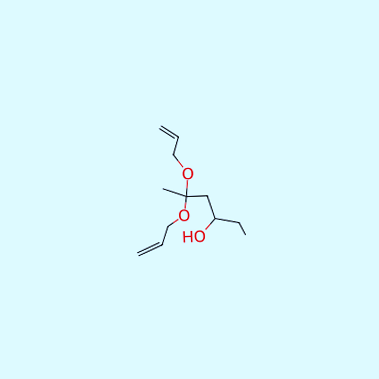 C=CCOC(C)(CC(O)CC)OCC=C